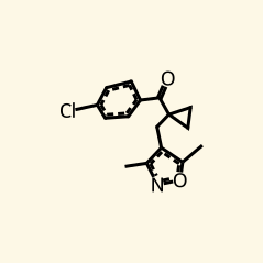 Cc1noc(C)c1CC1(C(=O)c2ccc(Cl)cc2)CC1